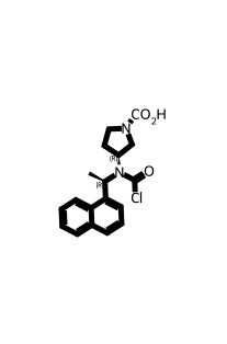 C[C@H](c1cccc2ccccc12)N(C(=O)Cl)[C@@H]1CCN(C(=O)O)C1